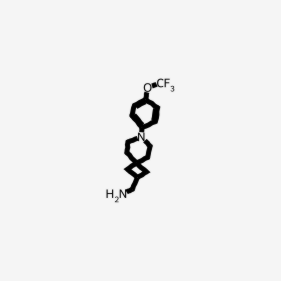 NCC1CC2(CCN(c3ccc(OC(F)(F)F)cc3)CC2)C1